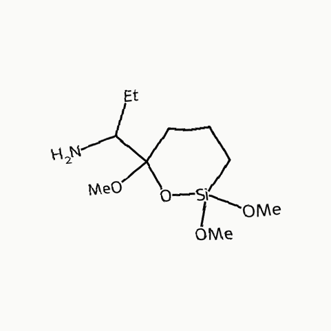 CCC(N)C1(OC)CCC[Si](OC)(OC)O1